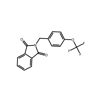 O=C1c2ccccc2C(=O)N1Cc1ccc(OC(F)(F)F)cc1